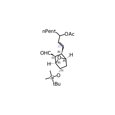 CCCCCC(/C=C/[C@@H]1[C@H](C=O)[C@H]2O[C@@H]1C[C@@H]2O[Si](C)(C)C(C)(C)C)OC(C)=O